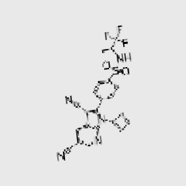 C[C@H](NS(=O)(=O)c1ccc(-c2c(C#N)c3cc(C#N)cnc3n2C2=CC=C2)cc1)C(F)(F)F